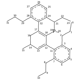 CCCc1cccc(CCC)c1C1=CC(C)CC2=C1P(C)C(CC)c1cccc(CCC)c12